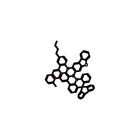 CCCCc1ccc(N2c3cc4c(cc3B3c5c(cc(-c6ccccc6C)cc52)-c2cccc5c2N3c2ccccc2C52c3ccccc3-c3ccccc32)oc2ccccc24)c(-c2ccccc2)c1